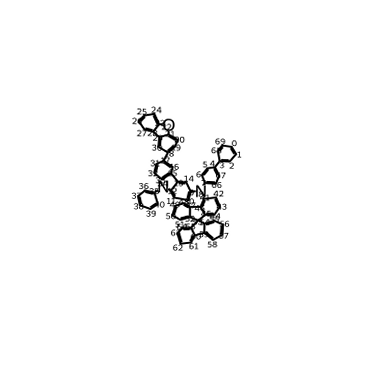 c1ccc(-c2ccc(N(c3ccc4c(c3)c3cc(-c5ccc6oc7ccccc7c6c5)ccc3n4-c3ccccc3)c3cccc4c3-c3ccccc3C43c4ccccc4-c4ccccc43)cc2)cc1